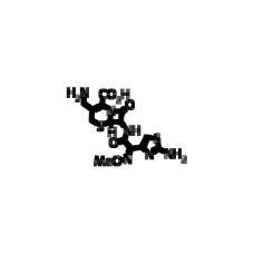 CO/N=C(\C(=O)NC1C(=O)N2C(C(=O)O)=C(CN)CS[C@@H]12)c1csc(N)n1